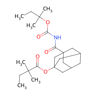 CCC(C)(C)OC(=O)NC(=O)C12CC3CC(CC(OC(=O)C(C)(C)CC)(C3)C1)C2